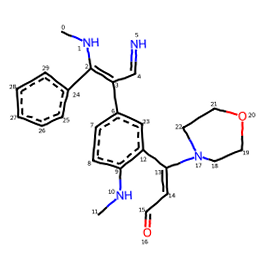 CN/C(=C(\C=N)c1ccc(NC)c(/C(=C\C=O)N2CCOCC2)c1)c1ccccc1